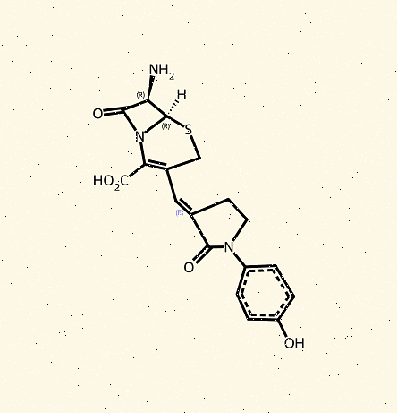 N[C@@H]1C(=O)N2C(C(=O)O)=C(/C=C3\CCN(c4ccc(O)cc4)C3=O)CS[C@H]12